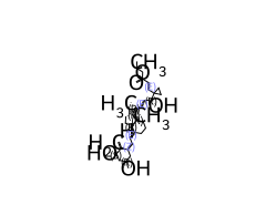 C=C1/C(=C\C=C2/CCC[C@]3(C)[C@@H]([C@H](C)/C=C/[C@@H](O)C4(/C=C/C(=O)OCC)CC4)CC[C@@H]23)C[C@@H](O)C[C@@H]1O